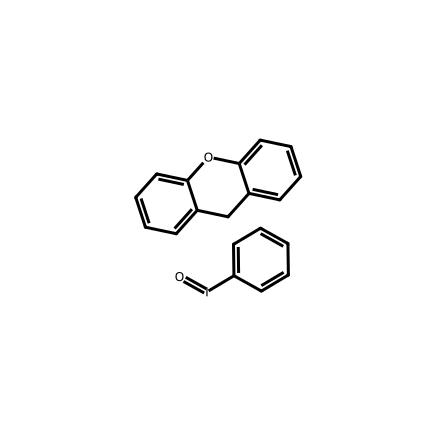 O=Ic1ccccc1.c1ccc2c(c1)Cc1ccccc1O2